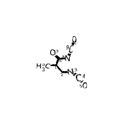 CC(CN=C=O)C(=O)N=C=O